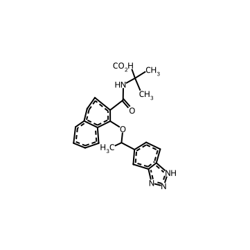 CC(Oc1c(C(=O)NC(C)(C)C(=O)O)ccc2ccccc12)c1ccc2[nH]nnc2c1